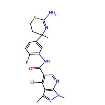 Cc1nn(C)c2ncc(C(=O)Nc3cc(C4(C)CCSC(N)=N4)ccc3F)c(Cl)c12